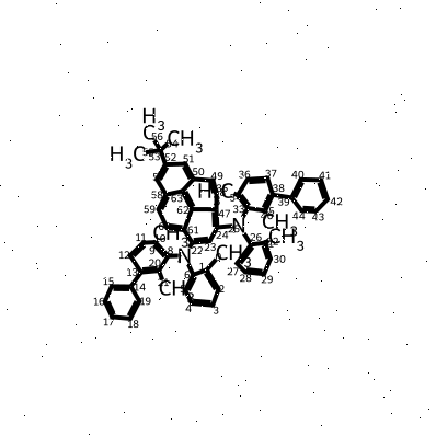 Cc1ccccc1N(c1c(C)ccc(-c2ccccc2)c1C)c1cc(N(c2ccccc2C)c2c(C)ccc(-c3ccccc3)c2C)c2ccc3cc(C(C)(C)C)cc4ccc1c2c43